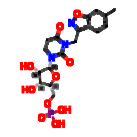 Cc1ccc2c(Cn3c(=O)ccn([C@@H]4O[C@H](COP(=O)(O)O)[C@H](O)[C@@H]4O)c3=O)noc2c1